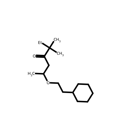 CCC(C)(C)C(=O)CC(C)OCCC1CCCCC1